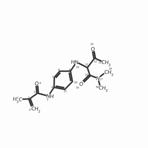 C=C(C)C(=O)Nc1ccc(NC(C(C)=O)C(=O)N(C)C)cc1